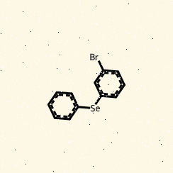 Brc1cccc([Se]c2ccccc2)c1